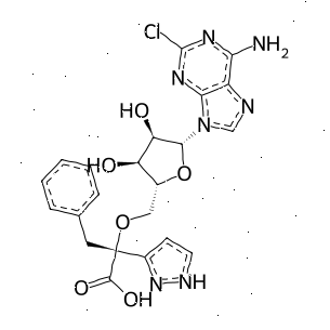 Nc1nc(Cl)nc2c1ncn2[C@@H]1O[C@H](CO[C@@](Cc2ccccc2)(C(=O)O)c2cc[nH]n2)[C@@H](O)[C@H]1O